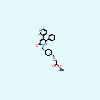 CC(C)(C)OC(=O)COC[C@H]1CC[C@H](Cn2nc(-c3ccccc3)c(-c3cccnc3F)cc2=O)CC1